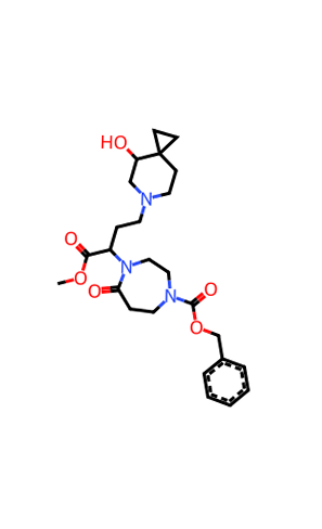 COC(=O)C(CCN1CCC2(CC2)C(O)C1)N1CCN(C(=O)OCc2ccccc2)CCC1=O